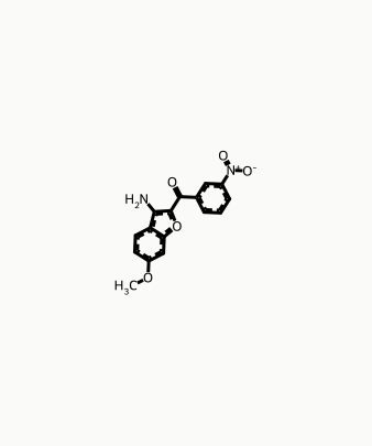 COc1ccc2c(N)c(C(=O)c3cccc([N+](=O)[O-])c3)oc2c1